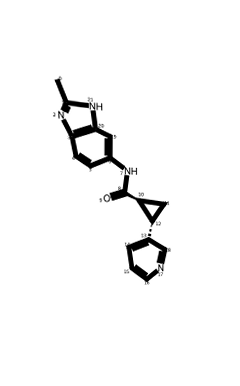 Cc1nc2ccc(NC(=O)[C@H]3C[C@@H]3c3cccnc3)cc2[nH]1